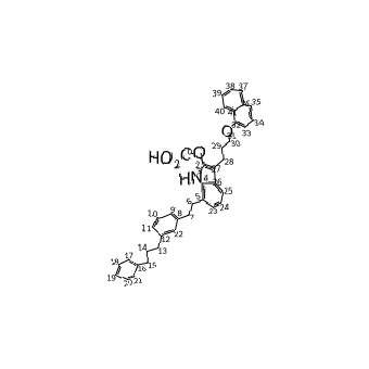 O=C(O)Oc1[nH]c2c(CCc3cccc(CCCc4ccccc4)c3)cccc2c1CCCOc1cccc2ccccc12